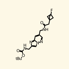 CC(C)(C)OC(=O)NCc1cn2ncc(CNC(=O)CC34CC(F)(C3)C4)cc2n1